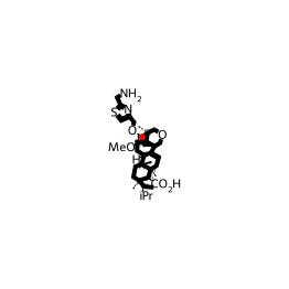 CO[C@@H]1C[C@]23COC[C@@](C)([C@@H]2CC[C@H]2C3=CC[C@@]3(C)[C@H](C(=O)O)[C@@](C)([C@H](C)C(C)C)CC[C@]23C)[C@H]1OCc1csc(CN)n1